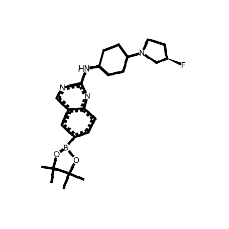 CC1(C)OB(c2ccc3nc(NC4CCC(N5CC[C@@H](F)C5)CC4)ncc3c2)OC1(C)C